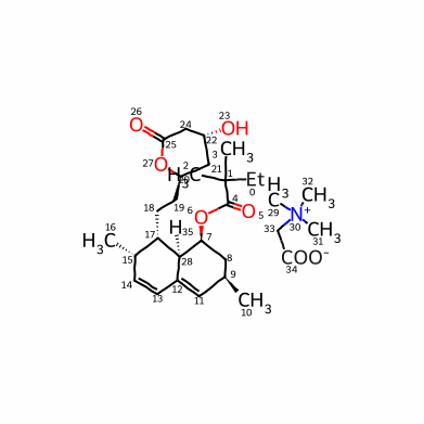 CCC(C)(C)C(=O)O[C@H]1C[C@@H](C)C=C2C=C[C@H](C)[C@H](CC[C@@H]3C[C@@H](O)CC(=O)O3)[C@H]21.C[N+](C)(C)CC(=O)[O-]